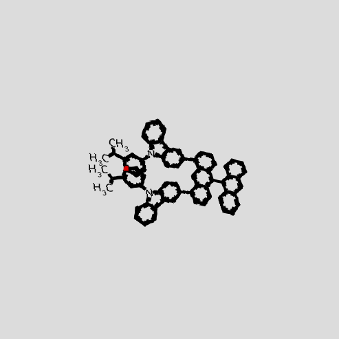 CC(C)c1cccc(-n2c3ccccc3c3cc(-c4cccc5c(-c6c7ccccc7cc7ccccc67)c6cccc(-c7ccc8c(c7)c7ccccc7n8-c7cccc(C(C)C)c7)c6cc45)ccc32)c1